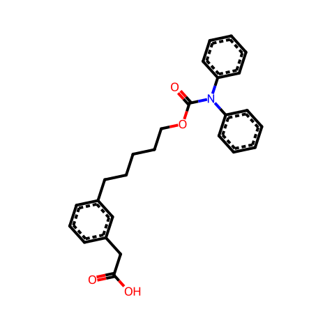 O=C(O)Cc1cccc(CCCCCOC(=O)N(c2ccccc2)c2ccccc2)c1